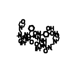 C=C(c1ccc(O)c(O)c1)N(C[C@H](O)C(C(=O)[C@@H](NC(=O)N(C)CCN1CCOCC1)C(C)C)C(N)c1ccccc1)NC(=O)[C@@H](NC(=O)N(C)CCN1CCOCC1)C(C)C